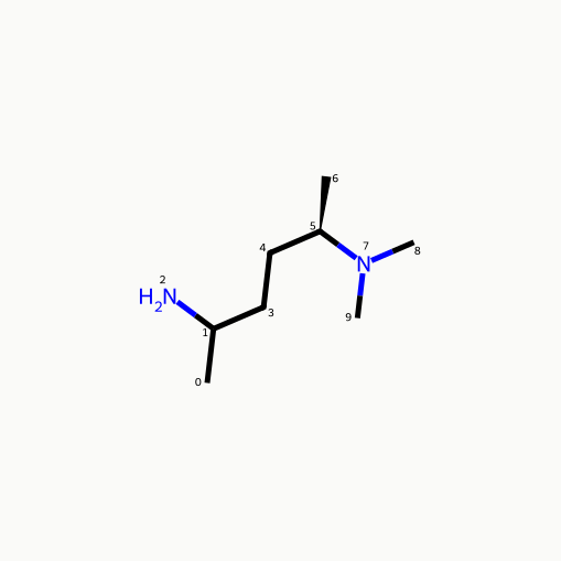 CC(N)CC[C@@H](C)N(C)C